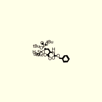 COC(=O)C(CC(O[SiH2]C(C)(C)C)P(=O)(OC(C)(C)C)OC(C)(C)C)NC(=O)OCc1ccccc1